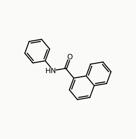 O=C(Nc1ccccc1)c1cccc2ccccc12